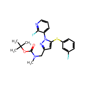 CN(Cc1cc(Sc2cccc(F)c2)n(-c2cccnc2F)n1)C(=O)OC(C)(C)C